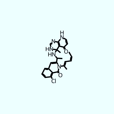 C/C=C\C=C(/C)n1c(C(C)NC2(C)NC=Nc3[nH]ccc(=O)c32)cc2cccc(Cl)c2c1=O